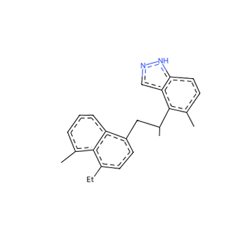 CCc1ccc(CC(C)c2c(C)ccc3[nH]ncc23)c2cccc(C)c12